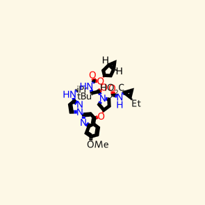 CC[C@@H]1C[C@]1(NC(=O)[C@@H]1C[C@@H](Oc2cc(-n3ccc(NC(C)C)n3)nc3cc(OC)ccc23)CN1C(=O)C(NC(=O)O[C@@H]1C[C@@H]2C[C@@H]2C1)C(C)(C)C)C(=O)O